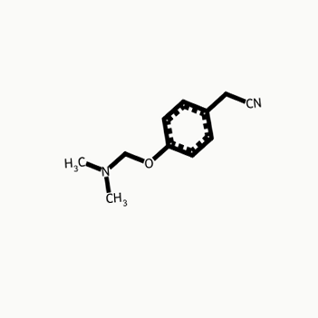 CN(C)COc1ccc(CC#N)cc1